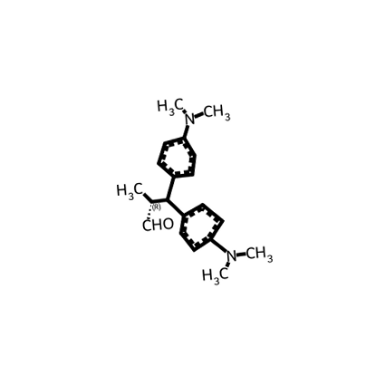 C[C@@H](C=O)C(c1ccc(N(C)C)cc1)c1ccc(N(C)C)cc1